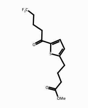 COC(=O)CCCc1ccc(C(=O)CCCC(F)(F)F)s1